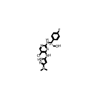 CN(C)c1cc(Nc2nc(N[C@@H](CO)c3ccc(F)cc3)ncc2Cl)[nH]n1